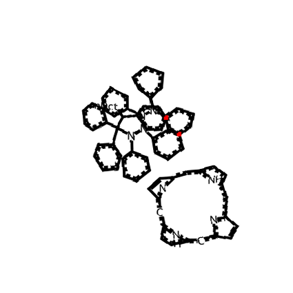 C1=Cc2cc3ccc(cc4nc(cc5ccc(cc1n2)[nH]5)C=C4)[nH]3.CCCCCCCCC(c1ccccc1)C(c1ccccc1)(c1ccccc1)N(c1ccccc1)N(c1ccccc1)N(c1ccccc1)N(c1ccccc1)c1ccccc1